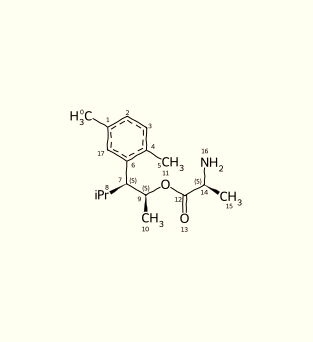 Cc1ccc(C)c([C@H](C(C)C)[C@H](C)OC(=O)[C@H](C)N)c1